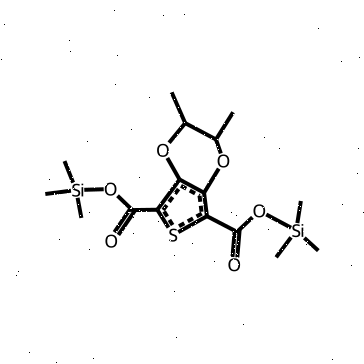 CC1Oc2c(C(=O)O[Si](C)(C)C)sc(C(=O)O[Si](C)(C)C)c2OC1C